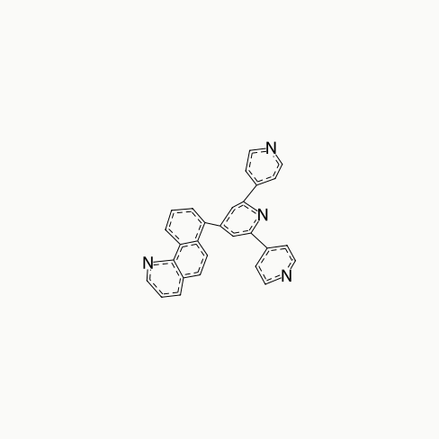 c1cnc2c(c1)ccc1c(-c3cc(-c4ccncc4)nc(-c4ccncc4)c3)cccc12